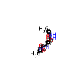 CC1=CCC(NC(=O)NS(=O)(=O)c2ccc(CCNC(=O)N3CCC(C)CC3=O)cc2)CC1